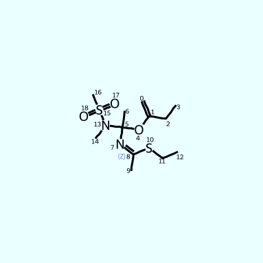 C=C(CC)OC(C)(/N=C(/C)SCC)N(C)S(C)(=O)=O